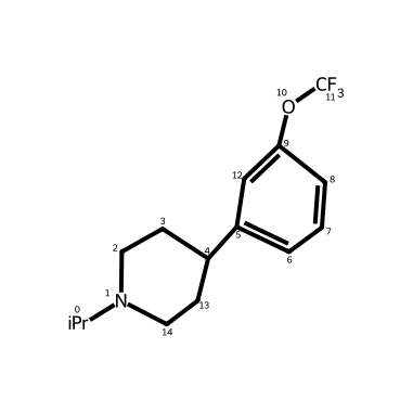 CC(C)N1CCC(c2cccc(OC(F)(F)F)c2)CC1